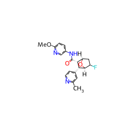 COc1ccc(NC(=O)[C@H]2[C@@H](c3ccnc(C)c3)[C@H]3O[C@@H]2C[C@H]3F)cn1